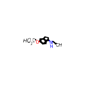 C#CCNC1CCc2cc(OCC(=O)O)ccc21